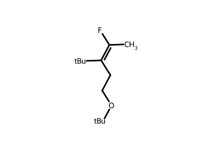 C/C(F)=C(\CCOC(C)(C)C)C(C)(C)C